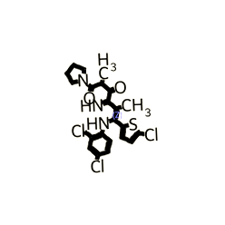 C/C(C(=N)C(=O)C(C)C(=O)N1CCCC1)=C(/Nc1ccc(Cl)cc1Cl)c1ccc(Cl)s1